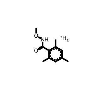 CONC(=O)c1c(C)cc(C)cc1C.P